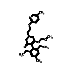 CCc1cc(C)cc(CC)c1C1=C(OCOC)CC(CCSc2ccc(C)cn2)CC1=O